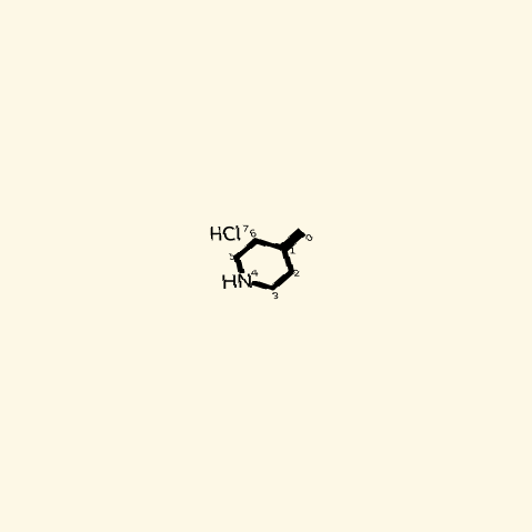 C=C1CCNCC1.Cl